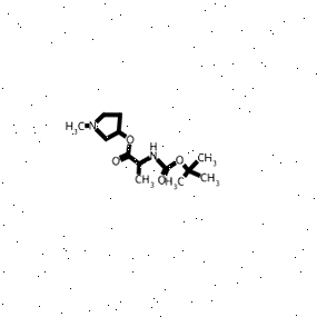 CC(NC(=O)OC(C)(C)C)C(=O)OC1CCN(C)C1